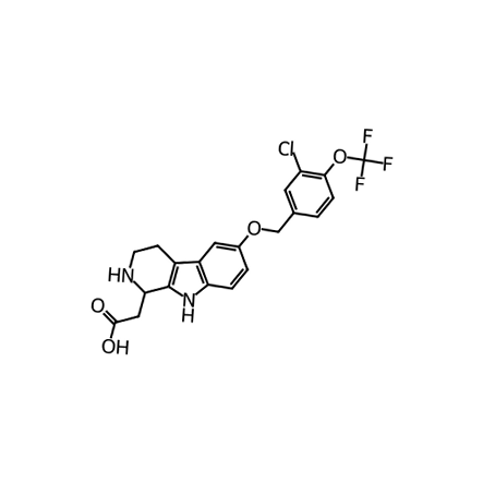 O=C(O)CC1NCCc2c1[nH]c1ccc(OCc3ccc(OC(F)(F)F)c(Cl)c3)cc21